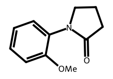 COc1ccccc1N1CCCC1=O